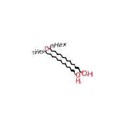 CCCCCCC(CCCCCCCCCCC=CCO)OC(CCCCCC)CCCCCCCCCCC=CCO